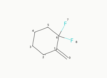 C=C1[CH]CCCC1(F)F